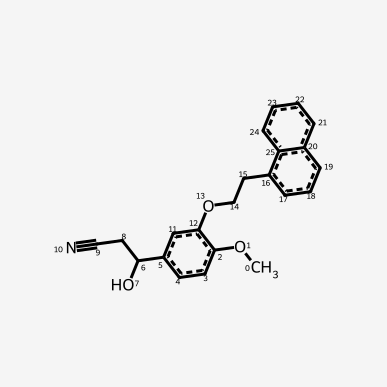 COc1ccc(C(O)CC#N)cc1OCCc1cccc2ccccc12